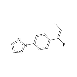 [CH2]/C=C(/F)c1ccc(-n2cccn2)cc1